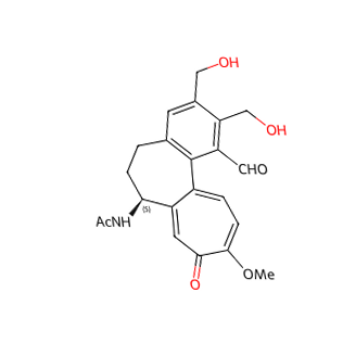 COc1ccc2c(cc1=O)[C@@H](NC(C)=O)CCc1cc(CO)c(CO)c(C=O)c1-2